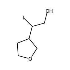 OCC(I)C1CCOC1